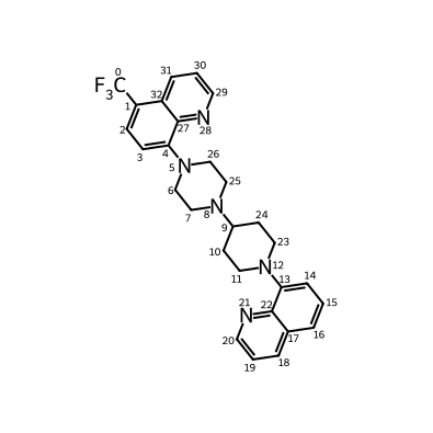 FC(F)(F)c1ccc(N2CCN(C3CCN(c4cccc5cccnc45)CC3)CC2)c2ncccc12